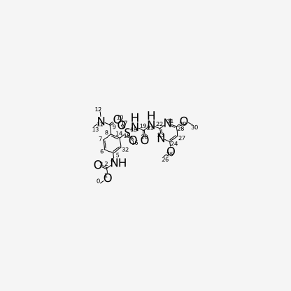 COC(=O)Nc1ccc(C(=O)N(C)C)c(S(=O)(=O)NC(=O)Nc2nc(OC)cc(OC)n2)c1